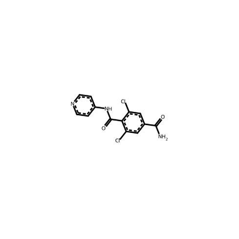 NC(=O)c1cc(Cl)c(C(=O)Nc2ccncc2)c(Cl)c1